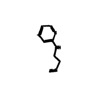 CNCCNc1c[c]ccn1